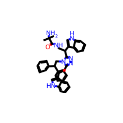 CC(C)(N)C(=O)NCC(c1c[nH]c2ccccc12)c1nnc(CCc2c[nH]c3ccccc23)n1CC(c1ccccc1)c1ccccc1